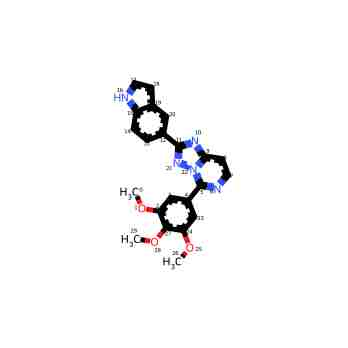 COc1cc(-c2nccc3nc(-c4ccc5[nH]ccc5c4)nn23)cc(OC)c1OC